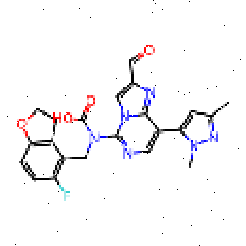 Cc1cc(-c2cnc(N(Cc3c(F)ccc4c3CCO4)C(=O)O)n3cc(C=O)nc23)n(C)n1